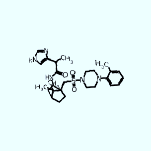 Cc1ccccc1N1CCN(S(=O)(=O)CC23CCC(CC2NC(=O)C(C)c2c[nH]cn2)C3(C)C)CC1